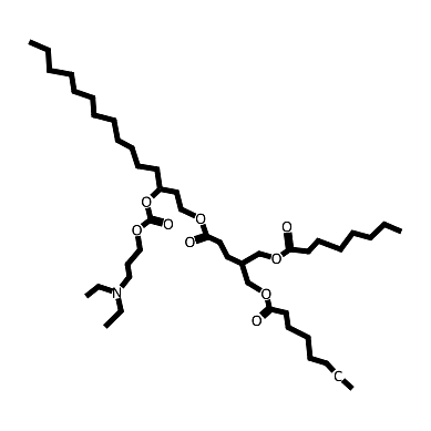 CCCCCCCCCCCCC(CCOC(=O)CCC(COC(=O)CCCCCCC)COC(=O)CCCCCCC)OC(=O)OCCCN(CC)CC